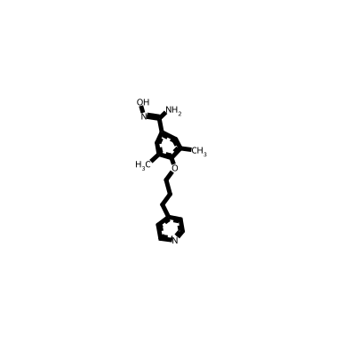 Cc1cc(C(N)=NO)cc(C)c1OCCCc1ccncc1